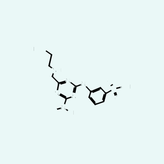 CCCNCc1nc(Nc2cccc(S(=O)(=O)O)c2)nc(N(C)C)n1